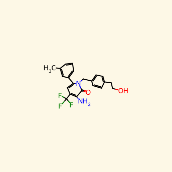 Cc1cccc(-c2cc(C(F)(F)F)c(N)c(=O)n2Cc2ccc(CCO)cc2)c1